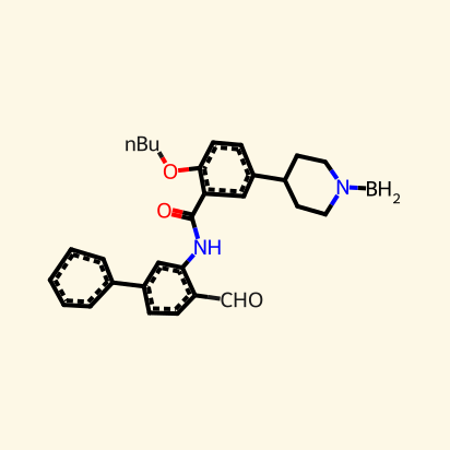 BN1CCC(c2ccc(OCCCC)c(C(=O)Nc3cc(-c4ccccc4)ccc3C=O)c2)CC1